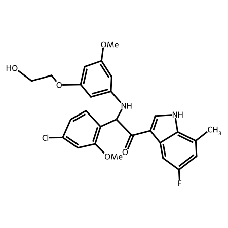 COc1cc(NC(C(=O)c2c[nH]c3c(C)cc(F)cc23)c2ccc(Cl)cc2OC)cc(OCCO)c1